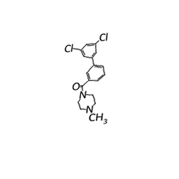 CN1CCN(C(=O)c2cccc(-c3cc(Cl)cc(Cl)c3)c2)CC1